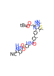 Cc1cc(C(=O)NCc2ccc(S(=O)(=O)Nc3ccc(C)c4c(C#N)c[nH]c34)cc2)ccc1-c1ccc(C2=N[C@@H](CCC(=O)OC(C)(C)C)c3nnc(C)n3-c3sc(C)c(C)c32)cc1